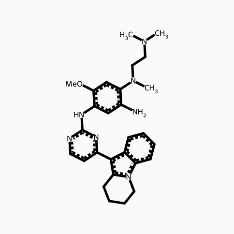 COc1cc(N(C)CCN(C)C)c(N)cc1Nc1nccc(-c2c3n(c4ccccc24)CCCC3)n1